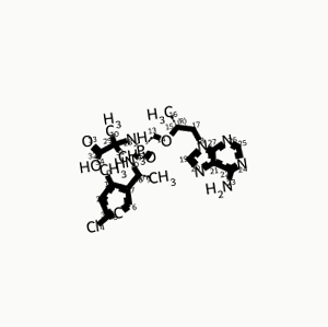 Cc1cc(Cl)ccc1[C@@H](C)N[P@@](=O)(CO[C@H](C)Cn1cnc2c(N)ncnc21)NC(C)(C)C(=O)O